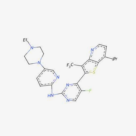 CCN1CCN(c2ccc(Nc3ncc(F)c(-c4sc5c(C(C)C)ccnc5c4C(F)(F)F)n3)nc2)CC1